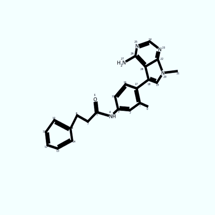 Cc1cc(NC(=O)CCc2ccccc2)ccc1-c1cn(C)c2ncnc(N)c12